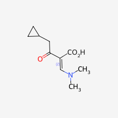 CN(C)/C=C(\C(=O)O)C(=O)CC1CC1